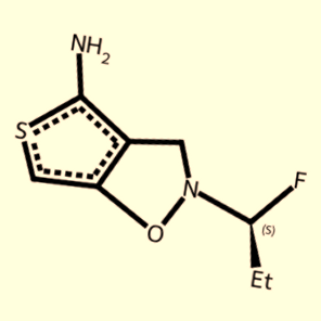 [CH2]C[C@H](F)N1Cc2c(csc2N)O1